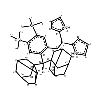 C[Si](C)(C)c1cc(CP(c2ccc[nH]2)c2ccc[nH]2)c(C(P)(C23CC4CC(CC(C4)C2)C3)C23CC4CC(CC(C4)C2)C3)cc1[Si](C)(C)C